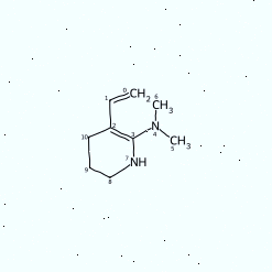 C=CC1=C(N(C)C)NCCC1